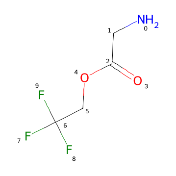 NCC(=O)OCC(F)(F)F